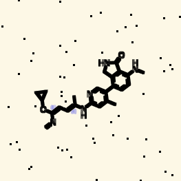 C=N/C(=C\C=C(/C)Nc1cc(C)c(-c2ccc(NC)c3c2CNC3=O)cn1)OC1CC1